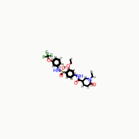 CCOc1cc(NC(=O)C2CCC(=O)N(CC)C2)ccc1S(=O)(=O)Nc1cccc(OC(F)(F)F)c1